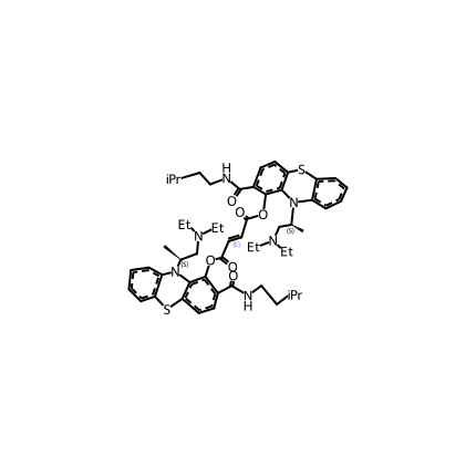 CCN(CC)C[C@H](C)N1c2ccccc2Sc2ccc(C(=O)NCCC(C)C)c(OC(=O)/C=C/C(=O)Oc3c(C(=O)NCCC(C)C)ccc4c3N([C@@H](C)CN(CC)CC)c3ccccc3S4)c21